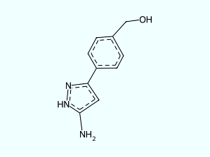 Nc1cc(-c2ccc(CO)cc2)n[nH]1